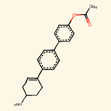 CCCCCCC1CC=C(c2ccc(-c3ccc(OC(=O)OC)cc3)cc2)CC1